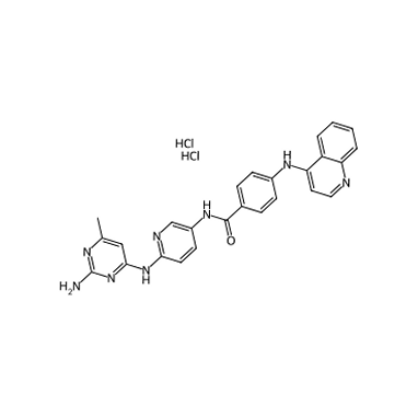 Cc1cc(Nc2ccc(NC(=O)c3ccc(Nc4ccnc5ccccc45)cc3)cn2)nc(N)n1.Cl.Cl